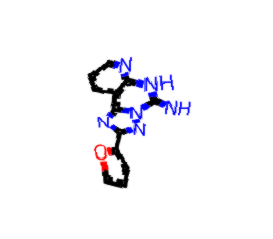 N=c1[nH]c2ncccc2c2nc(-c3ccco3)nn12